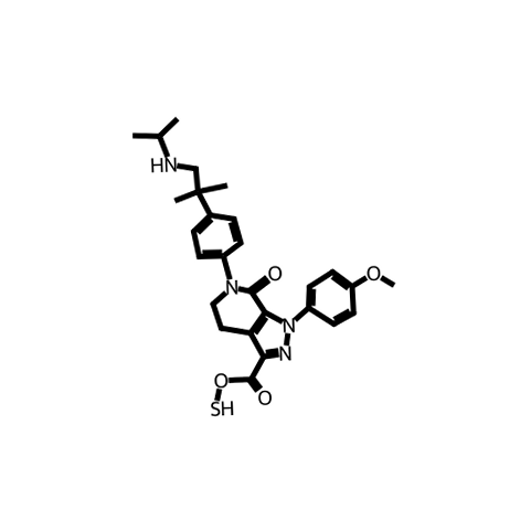 COc1ccc(-n2nc(C(=O)OS)c3c2C(=O)N(c2ccc(C(C)(C)CNC(C)C)cc2)CC3)cc1